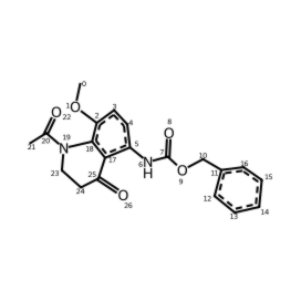 COc1ccc(NC(=O)OCc2ccccc2)c2c1N(C(C)=O)CCC2=O